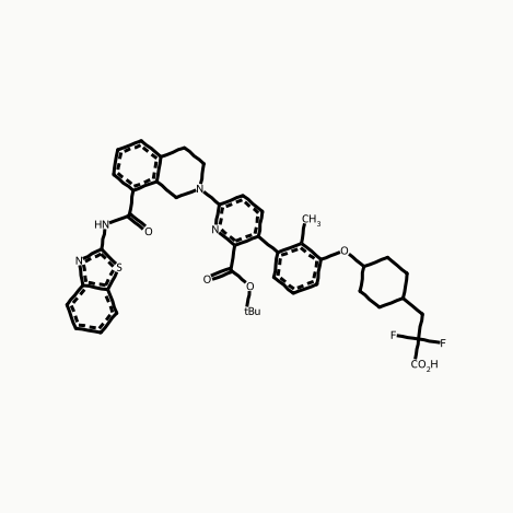 Cc1c(OC2CCC(CC(F)(F)C(=O)O)CC2)cccc1-c1ccc(N2CCc3cccc(C(=O)Nc4nc5ccccc5s4)c3C2)nc1C(=O)OC(C)(C)C